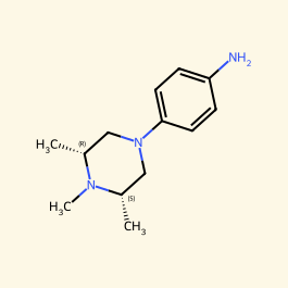 C[C@@H]1CN(c2ccc(N)cc2)C[C@H](C)N1C